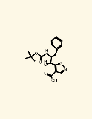 CC(C)(C)OC(=O)NC(Cc1ccccc1)C(O)c1sncc1C(=O)O